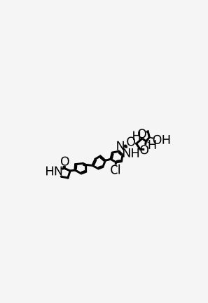 O=C1NCCC1c1ccc(-c2ccc(-c3cc4nc(O[C@@H]5CO[C@H]6[C@@H]5OC[C@H]6O)[nH]c4cc3Cl)cc2)cc1